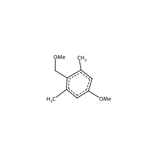 COCc1c(C)cc(OC)cc1C